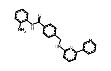 Nc1ccccc1NC(=O)c1ccc(CNc2cccc(-c3cccnc3)n2)cc1